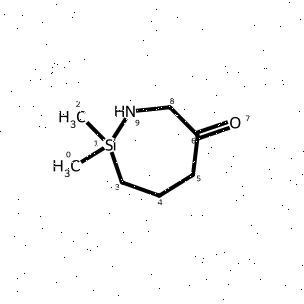 C[Si]1(C)CCCC(=O)CN1